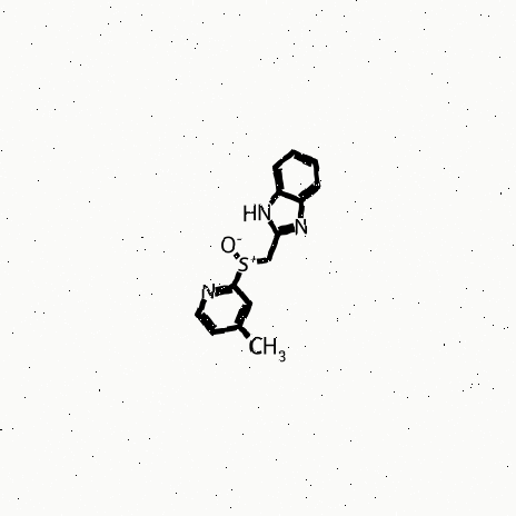 Cc1ccnc([S+]([O-])Cc2nc3ccccc3[nH]2)c1